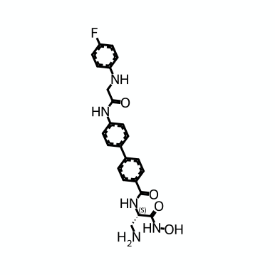 NC[C@H](NC(=O)c1ccc(-c2ccc(NC(=O)CNc3ccc(F)cc3)cc2)cc1)C(=O)NO